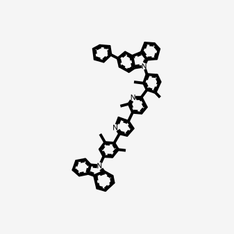 Cc1cc(-n2c3ccccc3c3ccccc32)cc(C)c1-c1ccc(-c2ccc(-c3c(C)ccc(-n4c5ccccc5c5cc(-c6ccccc6)ccc54)c3C)nc2C)cn1